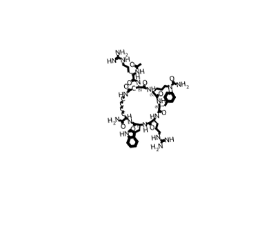 CC(=O)N[C@@H](CCCNC(=N)N)C(=O)N[C@H]1CC(=O)NCCCCC(C(N)=O)NC(=O)[C@H](Cc2c[nH]c3ccccc23)NC(=O)[C@H](CCCNC(=N)N)NC(=O)[C@@H](Cc2ccccc2)NC(=O)[C@H](CCCNC(N)=O)NC1=O